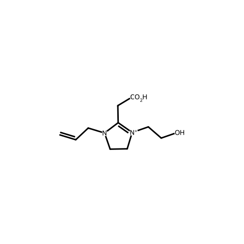 C=CCN1CC[N+](CCO)=C1CC(=O)O